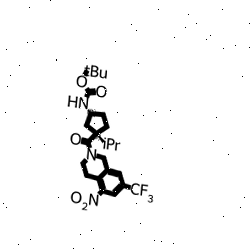 CC(C)[C@]1(C(=O)N2CCc3c(cc(C(F)(F)F)cc3[N+](=O)[O-])C2)CC[C@@H](NC(=O)OC(C)(C)C)C1